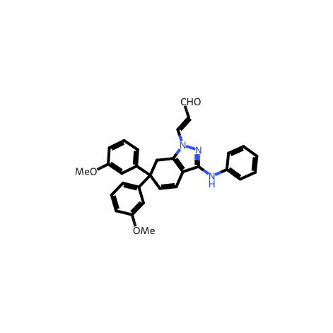 COc1cccc(C2(c3cccc(OC)c3)C=Cc3c(Nc4ccccc4)nn(C=CC=O)c3C2)c1